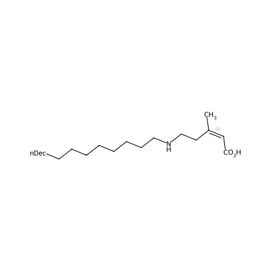 CCCCCCCCCCCCCCCCCCNCC/C(C)=C\C(=O)O